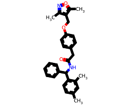 Cc1ccc(C(NC(=O)Cc2ccc(OCc3c(C)noc3C)cc2)c2ccccc2)c(C)c1